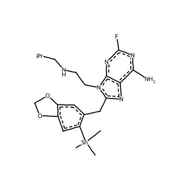 CC(C)CNCCn1c(Cc2cc3c(c[c]2[Sn]([CH3])([CH3])[CH3])OCO3)nc2c(N)nc(F)nc21